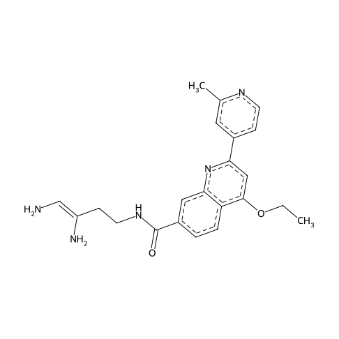 CCOc1cc(-c2ccnc(C)c2)nc2cc(C(=O)NCC/C(N)=C/N)ccc12